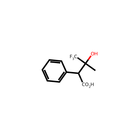 CC(O)(C(C(=O)O)c1ccccc1)C(F)(F)F